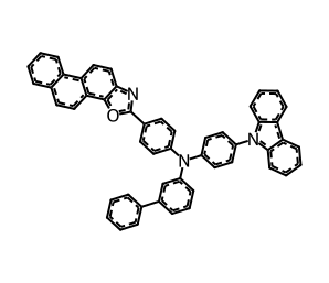 c1ccc(-c2cccc(N(c3ccc(-c4nc5ccc6c7ccccc7ccc6c5o4)cc3)c3ccc(-n4c5ccccc5c5ccccc54)cc3)c2)cc1